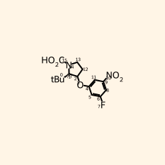 CC(C)(C)[C@@H]1C(Oc2cc(F)cc([N+](=O)[O-])c2)CCN1C(=O)O